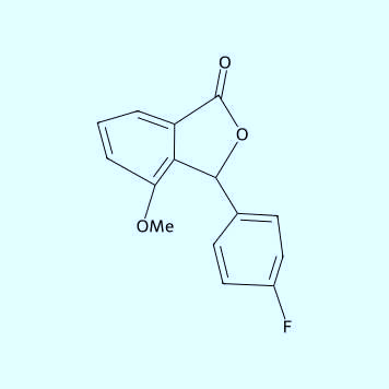 COc1cccc2c1C(c1ccc(F)cc1)OC2=O